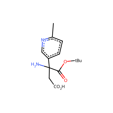 Cc1ccc(C(N)(CC(=O)O)C(=O)OC(C)(C)C)cn1